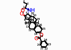 CCC(=O)N[C@H]1C(=O)C[C@H]2[C@@H]3CCc4cc(OC(=O)c5ccccc5)ccc4[C@H]3CC[C@]12C